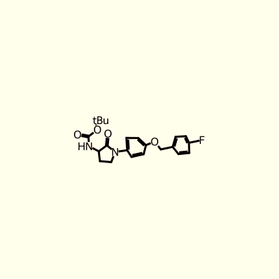 CC(C)(C)OC(=O)NC1CCN(c2ccc(OCc3ccc(F)cc3)cc2)C1=O